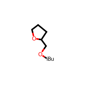 CCC(C)OCC1CCCO1